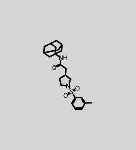 Cc1cccc(S(=O)(=O)N2CCC(CC(=O)NC34CC5CC(CC(C5)C3)C4)C2)c1